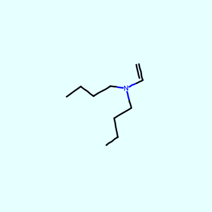 C=CN(CCCC)CCCC